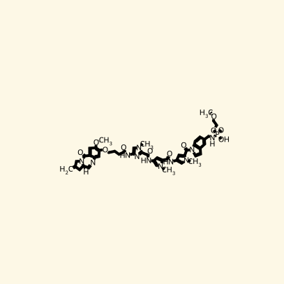 C=C1C[C@H]2C=Nc3cc(OCCCC(=O)Nc4cn(C)c(C(=O)Nc5cc(C(=O)Nc6cc(C(=O)n7ccc8cc(CNP(=O)(O)OCCOC)ccc87)n(C)c6)n(C)c5)n4)c(OC)cc3C(=O)N2C1